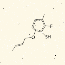 C/C=C/COc1ccc(C)c(F)c1S